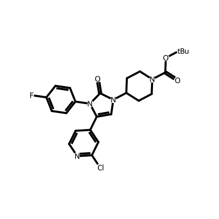 CC(C)(C)OC(=O)N1CCC(n2cc(-c3ccnc(Cl)c3)n(-c3ccc(F)cc3)c2=O)CC1